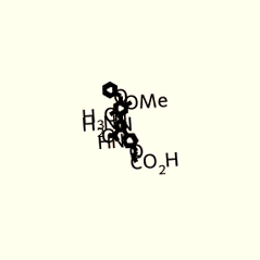 COc1cc(-n2nc3c(c2N)c(=O)[nH]c2cc(OCC(=O)O)ccc23)c(C)cc1Oc1ccccc1